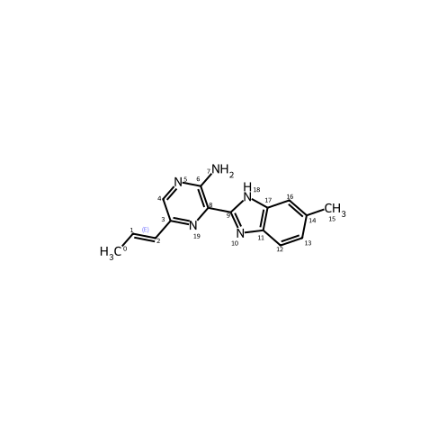 C/C=C/c1cnc(N)c(-c2nc3ccc(C)cc3[nH]2)n1